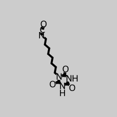 O=C=NCCCCCCCCn1c(=O)[nH]c(=O)[nH]c1=O